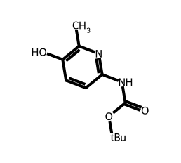 Cc1nc(NC(=O)OC(C)(C)C)ccc1O